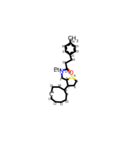 CCN(CC1SCCC1C1CCCCCCCC1)C(=O)CCc1ccc(C)cc1